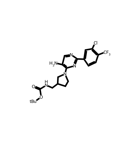 CC(C)(C)OC(=O)NCC1CCN(c2nc(-c3ccc(C(F)(F)F)c(Cl)c3)ncc2N)C1